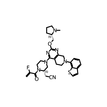 C=C(F)C(=O)N1CCN(c2nc(OC[C@@H]3CCCN3C)nc3c2CCN(c2cccc4ccsc24)C3)C[C@@H]1CC#N